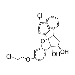 O[C@@H]1C[C@@H](c2ccccc2)[C@]2(c3ccc(Cl)cc3)Oc3cc(OCCCl)ccc3[C@]12O